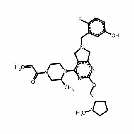 C=CC(=O)N1CCN(c2nc(OC[C@@H]3CCCN3C)nc3c2CN(Cc2cc(O)ccc2F)C3)[C@@H](C)C1